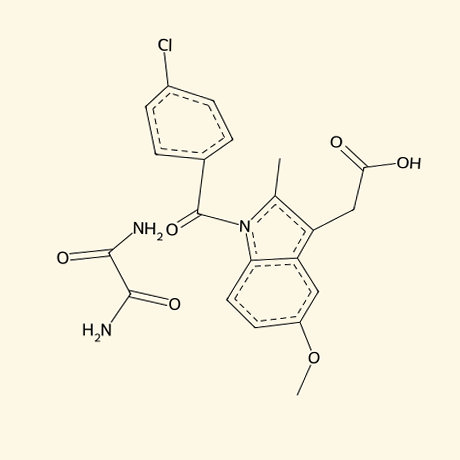 COc1ccc2c(c1)c(CC(=O)O)c(C)n2C(=O)c1ccc(Cl)cc1.NC(=O)C(N)=O